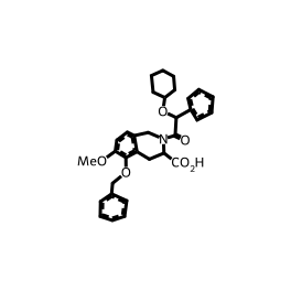 COc1ccc2c(c1OCc1ccccc1)CC(C(=O)O)N(C(=O)C(OC1CCCCC1)c1ccccc1)C2